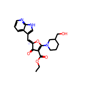 CCOC(=O)C1=C(N2CCCC(CO)C2)O/C(=C\c2c[nH]c3ncccc23)C1=O